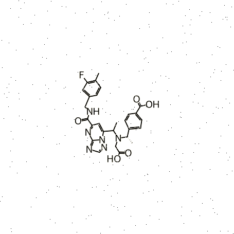 Cc1ccc(CNC(=O)c2cc(C(C)N(CC(=O)O)[C@@H](C)c3ccc(C(=O)O)cc3)n3ncnc3n2)cc1F